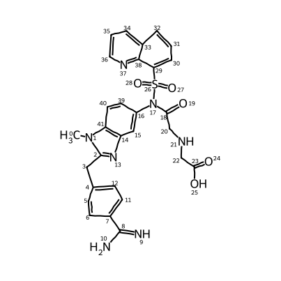 Cn1c(Cc2ccc(C(=N)N)cc2)nc2cc(N(C(=O)CNCC(=O)O)S(=O)(=O)c3cccc4cccnc34)ccc21